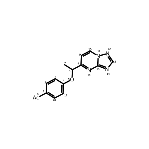 CC(=O)c1ccc(OC(C)c2ccn3ncnc3n2)cc1